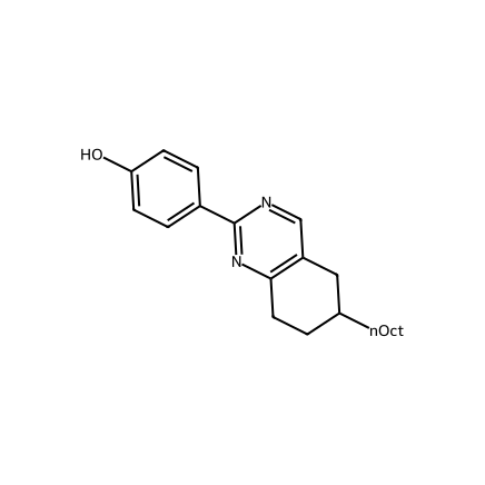 CCCCCCCCC1CCc2nc(-c3ccc(O)cc3)ncc2C1